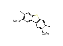 COc1cc2c(cc1C)sc1cc(C)c(OC)cc12